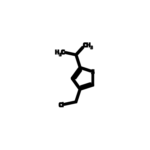 CC(C)c1cc(CCl)cs1